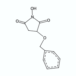 O=C1CC(OCc2ccccc2)C(=O)N1O